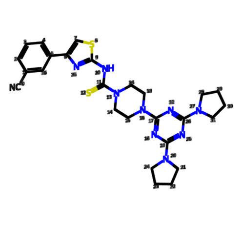 N#Cc1cccc(-c2csc(NC(=S)N3CCN(c4nc(N5CCCC5)nc(N5CCCC5)n4)CC3)n2)c1